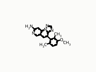 COc1ccc(C)c(-c2cc3cnc(N)cc3n3ncnc23)c1C